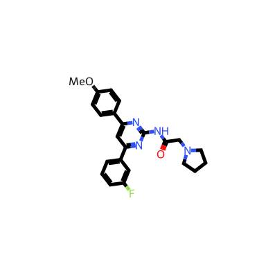 COc1ccc(-c2cc(-c3cccc(F)c3)nc(NC(=O)CN3CCCC3)n2)cc1